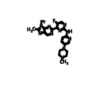 Cc1nc2cnc(-c3nc(Nc4ccc(N5CCN(C)CC5)cn4)ncc3F)nc2n1C(C)C